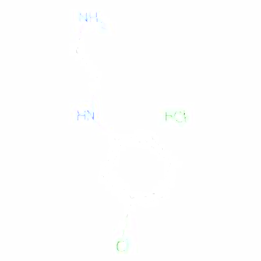 Cl.NCCNc1cccc(Cl)c1